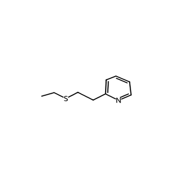 CCSCCc1ccccn1